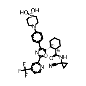 N#CC1(NC(=O)[C@@H]2CCCC[C@H]2c2oc(-c3cc(C(F)(F)F)ccn3)nc2-c2ccc(N3CCS(O)(O)CC3)cc2)CC1